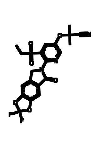 CCS(=O)(=O)c1cc(OC(C)(C)C#N)cnc1N1Cc2cc3c(cc2C1=O)OC(F)(F)O3